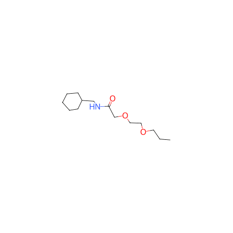 CCCOCCOCC(=O)NCC1CCCCC1